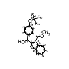 COCn1c(C(O)c2ccc(OC(F)(F)F)cc2)nc2ncccc21